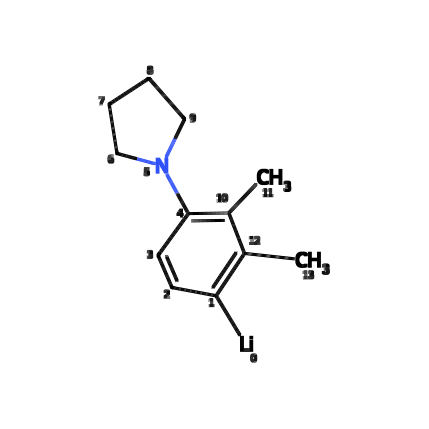 [Li][c]1ccc(N2CCCC2)c(C)c1C